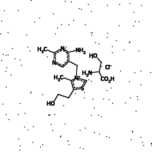 Cc1ncc(C[n+]2csc(CCO)c2C)c(N)n1.NC(CO)C(=O)O.[Cl-]